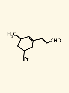 CC1C=C(CCC=O)CC(C(C)C)C1